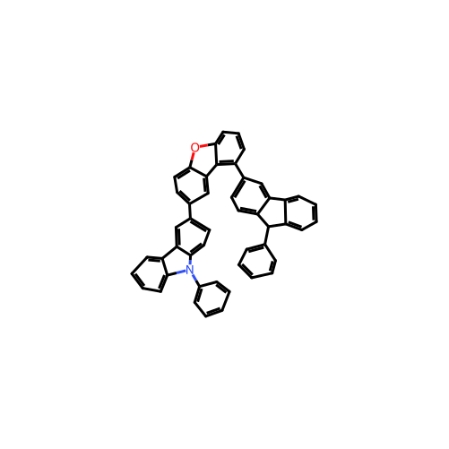 c1ccc(C2c3ccccc3-c3cc(-c4cccc5oc6ccc(-c7ccc8c(c7)c7ccccc7n8-c7ccccc7)cc6c45)ccc32)cc1